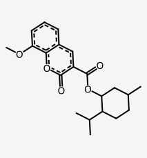 COc1cccc2cc(C(=O)OC3CC(C)CCC3C(C)C)c(=O)oc12